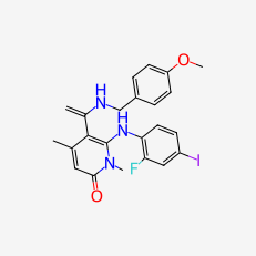 C=C(NCc1ccc(OC)cc1)c1c(C)cc(=O)n(C)c1Nc1ccc(I)cc1F